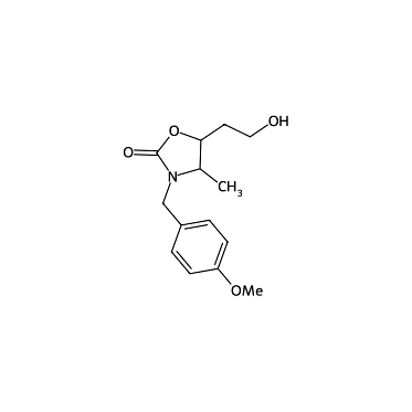 COc1ccc(CN2C(=O)OC(CCO)C2C)cc1